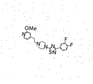 COc1cc(CCN2CCN(c3nc(-c4ccc(F)c(F)c4)ns3)CC2)ccn1